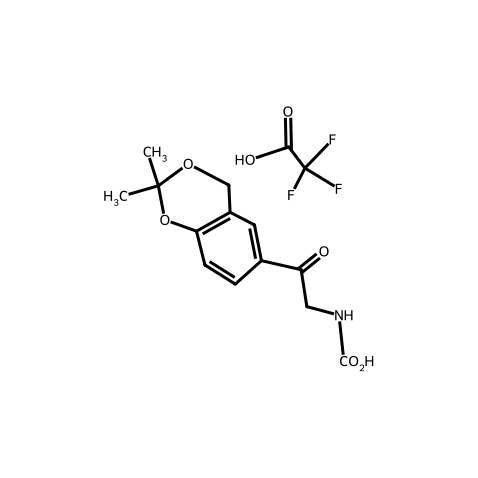 CC1(C)OCc2cc(C(=O)CNC(=O)O)ccc2O1.O=C(O)C(F)(F)F